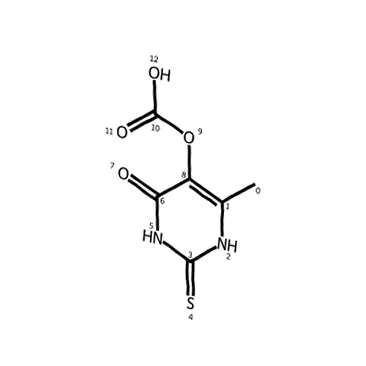 Cc1[nH]c(=S)[nH]c(=O)c1OC(=O)O